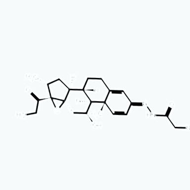 C[C@@H]1C[C@H]2[C@@H]3CCC4=C/C(=N/NC(=O)CN)C=C[C@]4(C)[C@@]3(F)[C@@H](O)C[C@@]23O[C@]13C(=O)CO